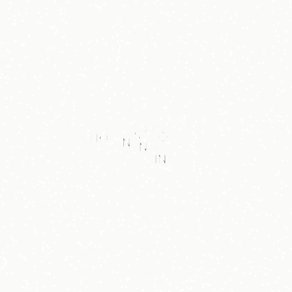 CN1C(O)c2ccccc2S1(=O)=NC(=O)Nc1c2c(cc3c1CCC3)CCC2